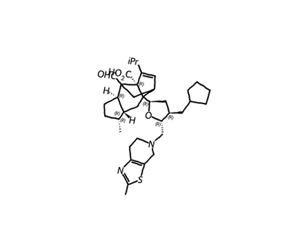 Cc1nc2c(s1)CN(C[C@@H]1O[C@@H](C34C[C@@H]5[C@H](C)CC[C@H]5C5(C=O)CC3C=C(C(C)C)[C@]54C(=O)O)C[C@H]1CC1CCCC1)CC2